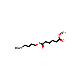 CCCCCCCCCCCCCCOC(=O)CCCCC(=O)OCCC